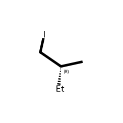 CC[C@@H](C)CI